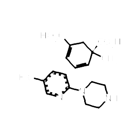 C[C@]1(C(=O)O)C=CC=C(C(=O)O)C1.FC(F)(F)c1ccc(N2CCNCC2)nc1